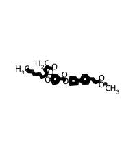 C=C1CC(C(CCCCCC)Oc2ccc(C(=O)Oc3ccc(-c4ccc(/C=C/C(=O)OCC)cc4)cc3)cc2)OC1=O